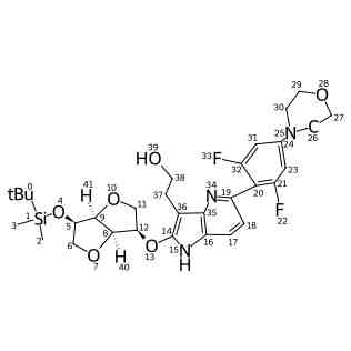 CC(C)(C)[Si](C)(C)O[C@@H]1CO[C@H]2[C@@H]1OC[C@H]2Oc1[nH]c2ccc(-c3c(F)cc(N4CCOCC4)cc3F)nc2c1CCO